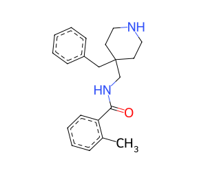 Cc1ccccc1C(=O)NCC1(Cc2ccccc2)CCNCC1